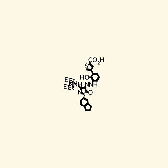 CC1=NN(c2ccc3c(c2)CCC3)C(=O)/C1=N\Nc1cccc(-c2csc(C(=O)O)c2)c1O.CCNCC.CCNCC